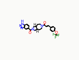 O=C(C=Cc1ccc(OC(F)(F)F)cc1)N1CC[C@@H]2CN(C(=O)c3ccc4[nH]nnc4c3)C[C@@H]2CC1